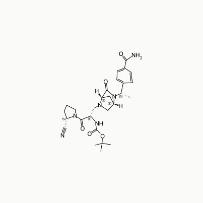 C[C@@H](c1ccc(C(N)=O)cc1)N1C(=O)[C@@H]2C[C@H]1CN2C[C@H](NC(=O)OC(C)(C)C)C(=O)N1CCC[C@H]1C#N